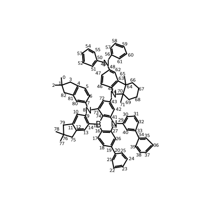 CC1(C)Cc2ccc(N3c4cc5c(cc4B4c6ccc(-c7ccccc7)cc6N(c6cccc(-c7ccccc7)c6)c6cc(N7c8ccc(N(c9ccccc9)c9ccccc9)cc8C8(C)CCCCC78C)cc3c64)CC(C)(C)C5)cc2C1